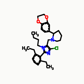 CCCCn1c(-c2c(CC)cccc2CC)nc(Cl)c1CN1CCCCC1c1ccc2c(c1)OCCO2